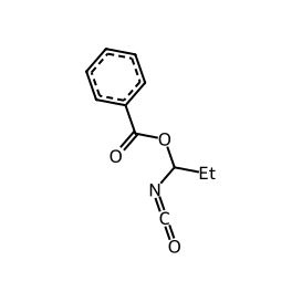 CCC(N=C=O)OC(=O)c1ccccc1